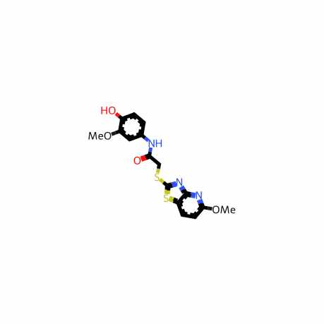 COc1ccc2sc(SCC(=O)Nc3ccc(O)c(OC)c3)nc2n1